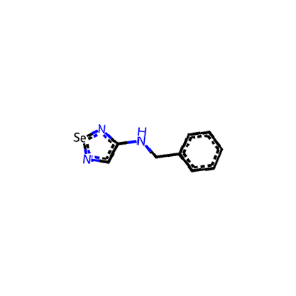 c1ccc(CNc2cn[se]n2)cc1